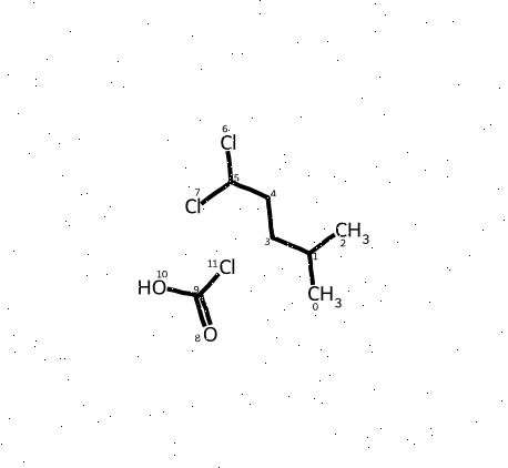 CC(C)CCC(Cl)Cl.O=C(O)Cl